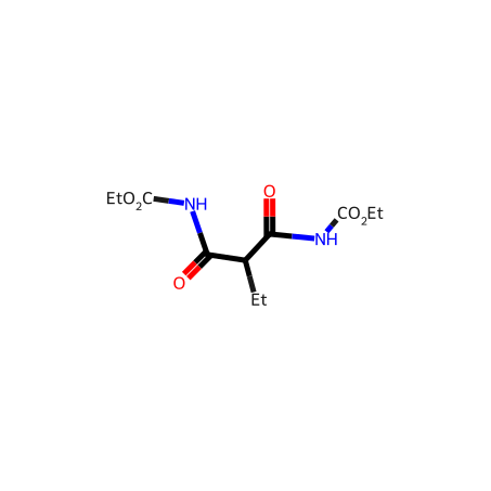 CCOC(=O)NC(=O)C(CC)C(=O)NC(=O)OCC